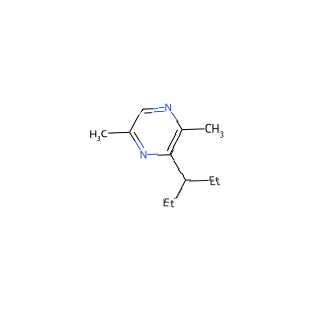 CCC(CC)c1nc(C)cnc1C